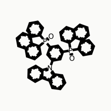 O=P(c1ccccc1)(c1cc(-n2c3ccccc3c3ccccc32)cc(P(=O)(c2ccccc2)c2cccc3ccccc23)c1)c1cccc2ccccc12